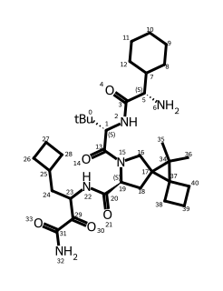 CC(C)(C)[C@H](NC(=O)[C@@H](N)C1CCCCC1)C(=O)N1CC2(C[C@H]1C(=O)NC(CC1CCC1)C(=O)C(N)=O)C(C)(C)C21CCC1